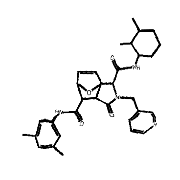 Cc1cc(C)cc(NC(=O)C2C3C=CC4(O3)C2C(=O)N(Cc2cccnc2)C4C(=O)NC2CCCC(C)C2C)c1